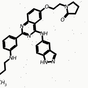 CCCCNc1cccc(-c2nc(Nc3ccc4[nH]ncc4c3)c3cc(OCCN4CCCC4=O)ccc3n2)c1